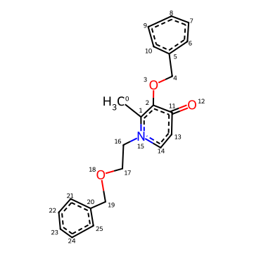 Cc1c(OCc2ccccc2)c(=O)ccn1CCOCc1ccccc1